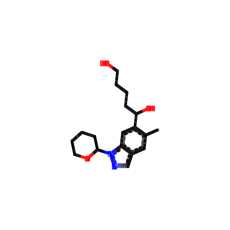 Cc1cc2cnn(C3CCCCO3)c2cc1C(O)CCCCO